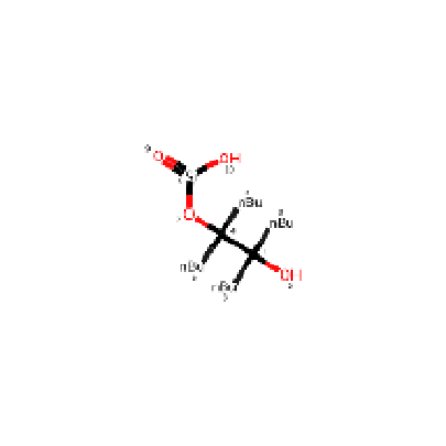 CCCCC(O)(CCCC)C(CCCC)(CCCC)O[Si](=O)O